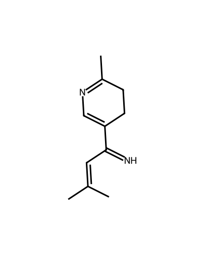 CC(C)=CC(=N)C1=CN=C(C)CC1